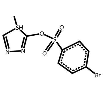 C[SH]1C=NN=C1OS(=O)(=O)c1ccc(Br)cc1